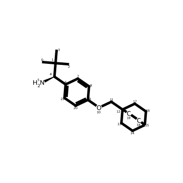 CC(C)(C)[C@H](N)c1ccc(OCC23CCC(CC2)CC3)cc1